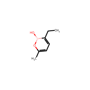 CCC1=CC=C(C)OB1O